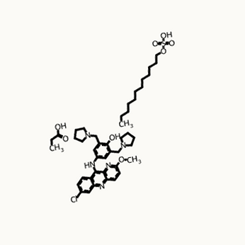 CCC(=O)O.CCCCCCCCCCCCOS(=O)(=O)O.COc1ccc2nc3cc(Cl)ccc3c(Nc3cc(CN4CCCC4)c(O)c(CN4CCCC4)c3)c2n1